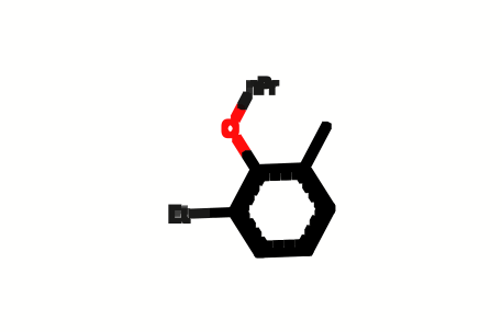 CCCOc1c(C)cccc1CC